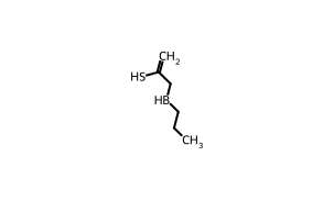 C=C(S)CBCCC